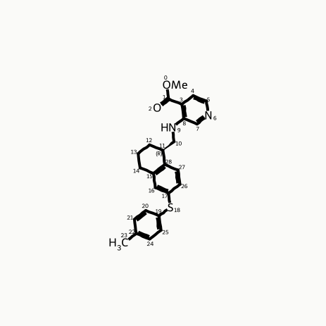 COC(=O)c1ccncc1NC[C@@H]1CCCc2cc(Sc3ccc(C)cc3)ccc21